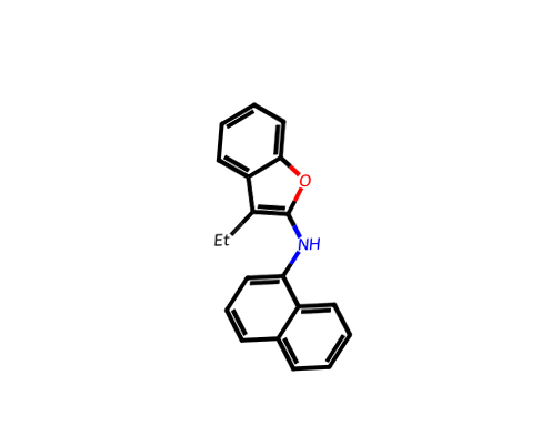 CCc1c(Nc2cccc3ccccc23)oc2ccccc12